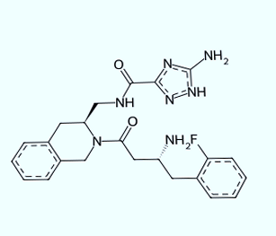 Nc1nc(C(=O)NC[C@@H]2Cc3ccccc3CN2C(=O)C[C@H](N)Cc2ccccc2F)n[nH]1